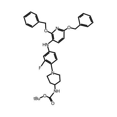 CC(C)(C)OC(=O)NC1CCN(c2ccc(Nc3ccc(OCc4ccccc4)nc3OCc3ccccc3)cc2F)CC1